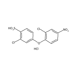 Cl.O=[N+]([O-])c1ccc(Oc2ccc(S(=O)(=O)O)c(Cl)c2)c(Cl)c1